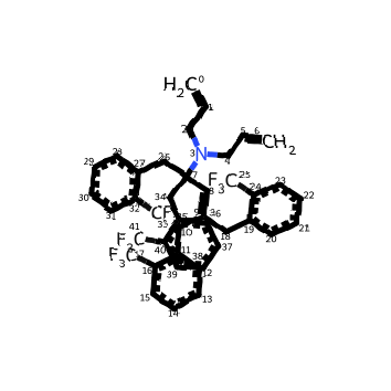 C=CCN(CC=C)C(C=C(Cc1ccccc1C(F)(F)F)Cc1ccccc1C(F)(F)F)(Cc1ccccc1C(F)(F)F)Cc1ccccc1C(F)(F)F